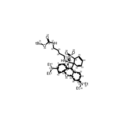 CCN(CC)c1ccc2c(C3(S(=O)(=O)NCCCCNC(=O)OC(C)(C)C)C=CC=CC3S(=O)(=O)[O-])c3ccc(=[N+](CC)CC)cc-3oc2c1